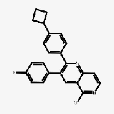 Fc1ccc(-c2cc3c(Cl)nccc3nc2-c2ccc(C3CCC3)cc2)cc1